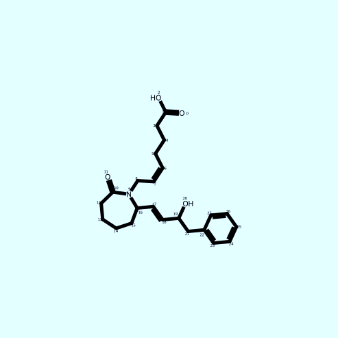 O=C(O)CCC/C=C\CN1C(=O)CCCCC1C=CC(O)Cc1ccccc1